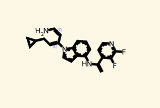 C=C(Nc1cccc2c1ccn2C(/C=C\N)=C/CC1CC1)c1ccnc(F)c1F